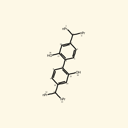 CCCC(CCC)c1ccc(-c2ccc(C(CCC)CCC)cc2O)c(O)c1